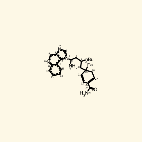 CCCCC(CC(N)n1cnc2cnc3ccccc3c21)CC1(F)C=CC(C(N)=O)=CC1